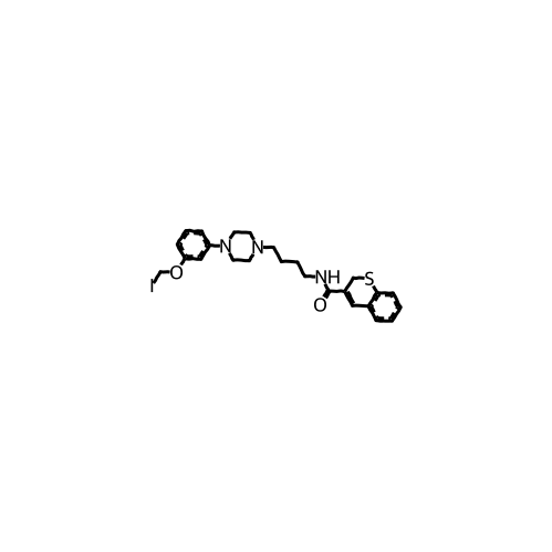 O=C(NCCCCN1CCN(c2cccc(OCI)c2)CC1)C1=Cc2ccccc2SC1